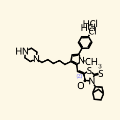 Cl.Cl.Cn1c(-c2ccc(Cl)cc2)cc(CCCCCN2CCNCC2)c1/C=C1\SC(=S)N(C2CC3CCC2C3)C1=O